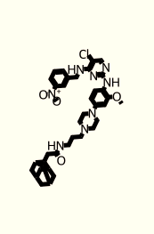 COc1cc(N2CCN(CCCNC(=O)CC3C4CC5CC(C4)CC3C5)CC2)ccc1Nc1ncc(Cl)c(NCc2cccc([N+](=O)[O-])c2)n1